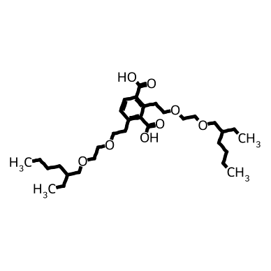 CCCCC(CC)COCCOCCc1ccc(C(=O)O)c(CCOCCOCC(CC)CCCC)c1C(=O)O